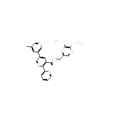 COc1ncc(CNC(=O)c2cc(-c3cncc(C)c3)cnc2-c2ccccn2)nc1OC